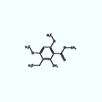 CCc1c(OC)cc(OC)c(C(=O)OC)c1C